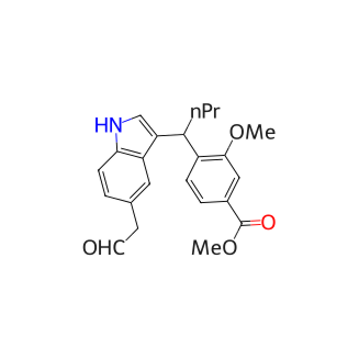 CCCC(c1ccc(C(=O)OC)cc1OC)c1c[nH]c2ccc(CC=O)cc12